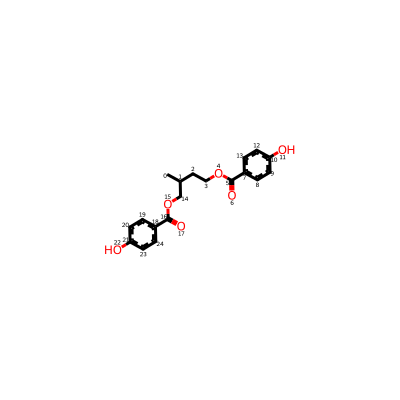 CC(CCOC(=O)c1ccc(O)cc1)COC(=O)c1ccc(O)cc1